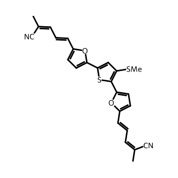 CSc1cc(-c2ccc(/C=C/C=C(/C)C#N)o2)sc1-c1ccc(/C=C/C=C(/C)C#N)o1